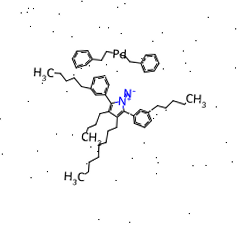 CCCCCCCCC1=C(c2cccc(CCCCC)c2)[N+](=[N-])C(c2cccc(CCCCC)c2)=C1CCCC.c1ccc(C[CH2][Pd][CH2]Cc2ccccc2)cc1